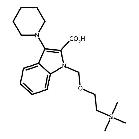 C[Si](C)(C)CCOCn1c(C(=O)O)c(N2CCCCC2)c2ccccc21